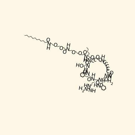 CCCCCCCCCCCC(=O)NCCOCCOCC(=O)NCCOCCOCC(=O)N[C@@H](CCCC)C(=O)N[C@H]1CCC(=O)CNCCCCC[C@@H](C(N)=O)NC(=O)[C@H](Cc2c[nH]c3ccccc23)NC(=O)[C@H](CCCNC(=N)N)NC(=O)C(Cc2ccccc2)NC(=O)[C@@H]2C[C@@H](O)CN2C1=O